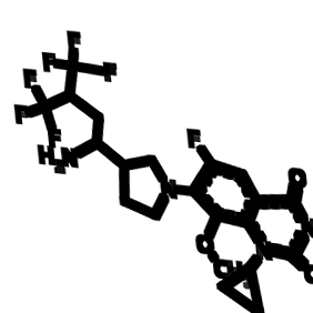 COc1c(N2CCC(C(N)CC(C(F)(F)F)C(F)(F)F)C2)c(F)cc2c(=O)[nH]c(=O)n(C3CC3)c12